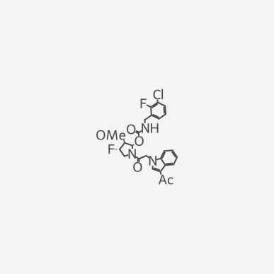 CO[C@@H]1[C@@H](F)CN(C(=O)Cn2cc(C(C)=O)c3ccccc32)[C@H]1OC(=O)NCc1cccc(Cl)c1F